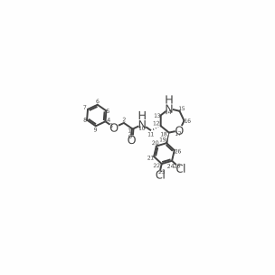 O=C(COc1ccccc1)NC[C@@H]1CNCCO[C@H]1c1ccc(Cl)c(Cl)c1